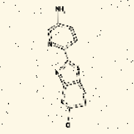 Nc1ccc(-c2nc3cc(Cl)ccc3s2)nc1